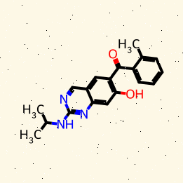 Cc1ccccc1C(=O)c1cc2cnc(NC(C)C)nc2cc1O